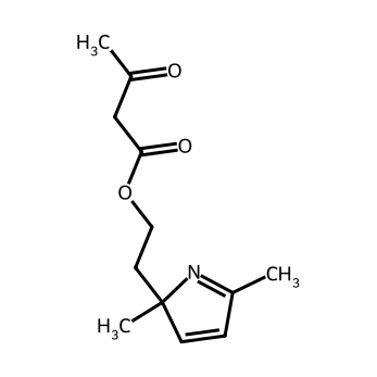 CC(=O)CC(=O)OCCC1(C)C=CC(C)=N1